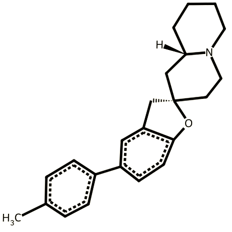 Cc1ccc(-c2ccc3c(c2)C[C@]2(CCN4CCCC[C@H]4C2)O3)cc1